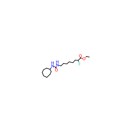 CCOC(=O)C(F)CCCCCCNC(=O)NC1CCCCCCC1